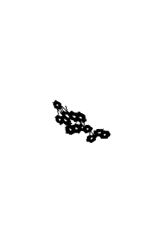 c1ccc2cc3c(cc2c1)c1cc(-n2c4ccccc4c4c5ccccc5ccc42)ccc1n3-c1cccc2cc(-c3nc4ccccc4nc3-c3cccc4ccccc34)ccc12